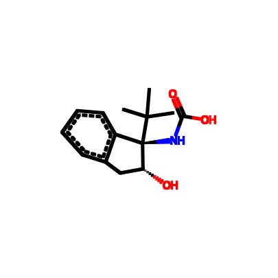 CC(C)(C)[C@@]1(NC(=O)O)c2ccccc2C[C@H]1O